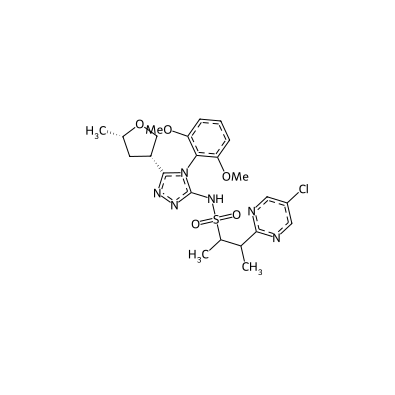 COc1cccc(OC)c1-n1c(NS(=O)(=O)C(C)C(C)c2ncc(Cl)cn2)nnc1[C@H]1CO[C@@H](C)C1